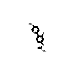 CCCCc1ccc(-c2ccc(O[C@@H](C)CCCC)cc2F)nc1